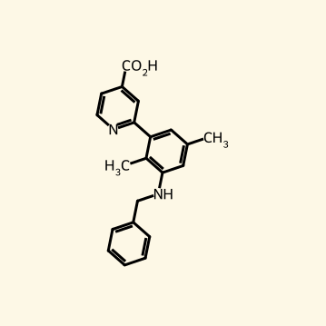 Cc1cc(NCc2ccccc2)c(C)c(-c2cc(C(=O)O)ccn2)c1